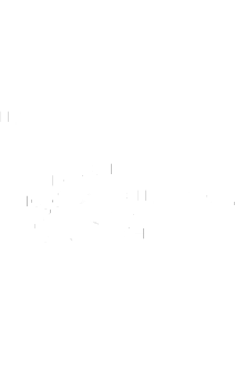 CCCCCC(C)(C)c1cc2c(c(C(C)(C)CCCCC)c1)OP(=O)(O)c1ccccc1-2